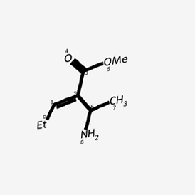 CCC=C(C(=O)OC)C(C)N